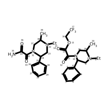 CCN1CC(c2ccccc2)N(C(=O)C(=O)OCC(F)(F)F)CC1C.CCN1CC(c2ccccc2)N(C(=O)C(N)=O)CC1C